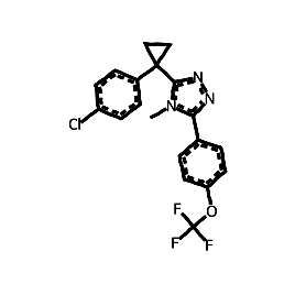 Cn1c(-c2ccc(OC(F)(F)F)cc2)nnc1C1(c2ccc(Cl)cc2)CC1